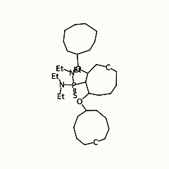 CCN(CC)P(=S)(C1C(OC2CCCCCCCCC2)CCCCCCC1OC1CCCCCCCC1)N(CC)CC